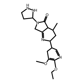 CCOC1=C(OC)CC(C2CC(C)C3C(=O)N(C4CCNN4)CC3=N2)C=N1